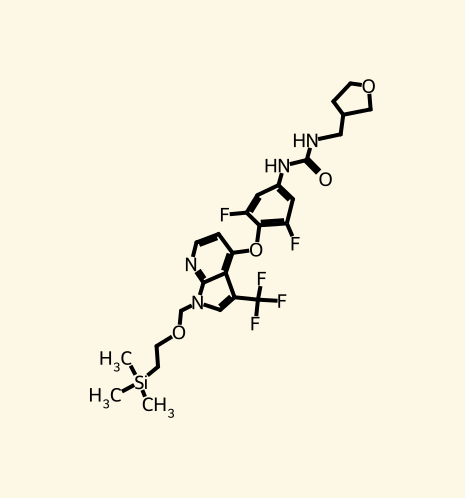 C[Si](C)(C)CCOCn1cc(C(F)(F)F)c2c(Oc3c(F)cc(NC(=O)NCC4CCOC4)cc3F)ccnc21